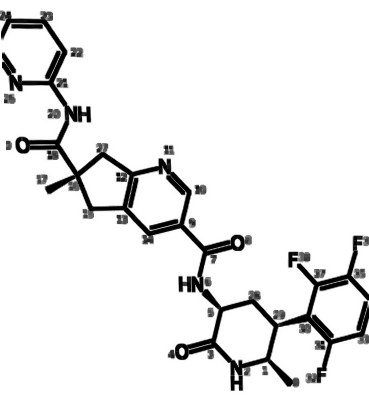 C[C@H]1NC(=O)[C@@H](NC(=O)c2cnc3c(c2)C[C@](C)(C(=O)Nc2ccccn2)C3)C[C@H]1c1c(F)ccc(F)c1F